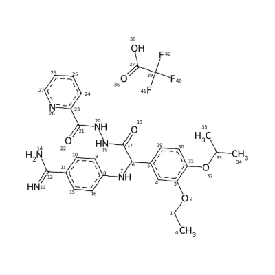 CCOc1cc(C(Nc2ccc(C(=N)N)cc2)C(=O)NNC(=O)c2ccccn2)ccc1OC(C)C.O=C(O)C(F)(F)F